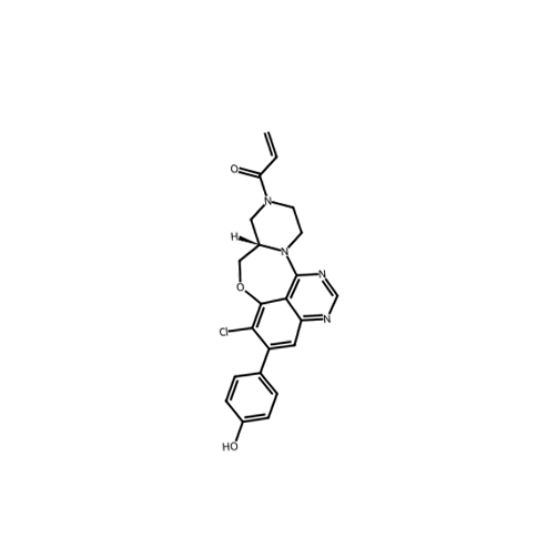 C=CC(=O)N1CCN2c3ncnc4cc(-c5ccc(O)cc5)c(Cl)c(c34)OC[C@@H]2C1